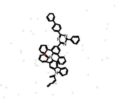 C=C/C=C\C(=C)n1c2ccccc2c2cc3c(cc21)c1ccccc1n3-c1c(-c2ccccc2)cc(-c2nc(-c3ccccc3)nc(-c3ccc(C4=CCCC=C4)cc3)n2)cc1-c1ccccc1